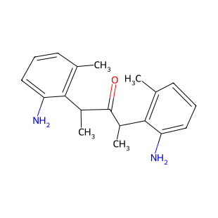 Cc1cccc(N)c1C(C)C(=O)C(C)c1c(C)cccc1N